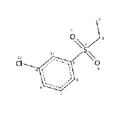 CCS(=O)(=O)c1cccc(Cl)c1